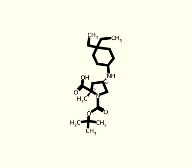 CCC1(CC)CCC(N[C@@H]2CN(C(=O)OC(C)(C)C)[C@](C)(C(=O)O)C2)CC1